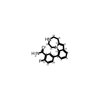 NC(=O)c1cc(-c2cccc3cc4n(c23)CCNCC4)ccc1F